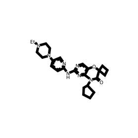 CCN1CCN(c2ccc(Nc3ncc4c(n3)N(C3CCCC3)C(=O)C3(CCC3)O4)nc2)CC1